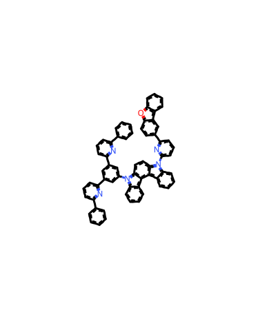 c1ccc(-c2cccc(-c3cc(-c4cccc(-c5ccccc5)n4)cc(-n4c5ccccc5c5c6c7ccccc7n(-c7cccc(-c8ccc9oc%10ccccc%10c9c8)n7)c6ccc54)c3)n2)cc1